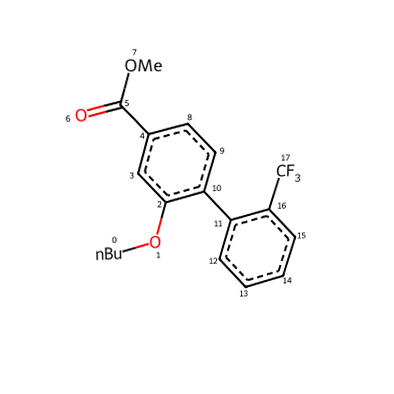 CCCCOc1cc(C(=O)OC)ccc1-c1ccccc1C(F)(F)F